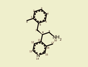 Cc1ccccc1C[C@@H](CN)c1ccncc1C